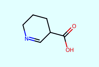 O=C(O)C1C=NCCC1